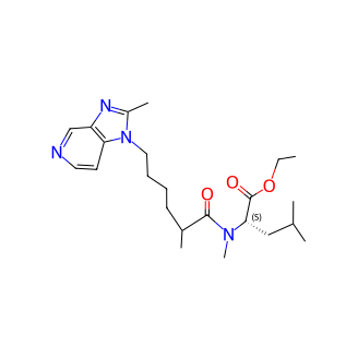 CCOC(=O)[C@H](CC(C)C)N(C)C(=O)C(C)CCCCn1c(C)nc2cnccc21